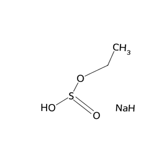 CCOS(=O)O.[NaH]